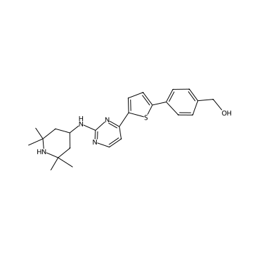 CC1(C)CC(Nc2nccc(-c3ccc(-c4ccc(CO)cc4)s3)n2)CC(C)(C)N1